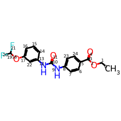 CCOC(=O)c1ccc(NC(=O)Nc2cccc(OC(F)F)c2)cc1